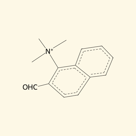 C[N+](C)(C)c1c(C=O)ccc2ccccc12